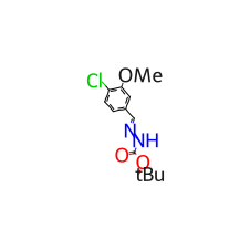 COc1cc(/C=N/NC(=O)OC(C)(C)C)ccc1Cl